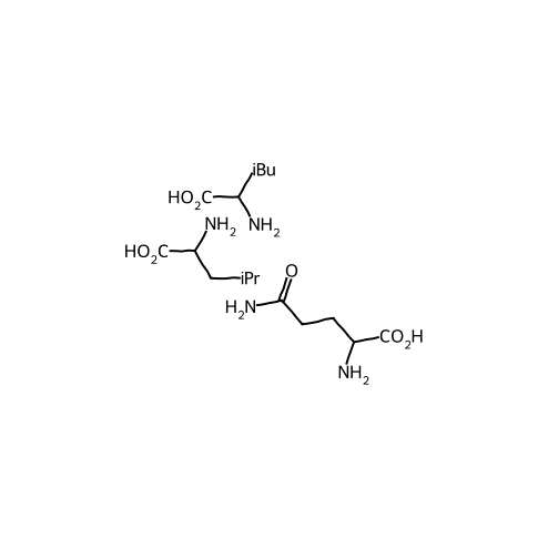 CC(C)CC(N)C(=O)O.CCC(C)C(N)C(=O)O.NC(=O)CCC(N)C(=O)O